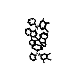 Cc1cc(N(c2ccccc2)c2ccc3c4c(ccc3c2)-c2c(cc(N(c3ccccc3)c3cc(C)c(C)c(C)c3)c3ccccc23)C42c3ccccc3-c3ccccc32)cc(C)c1C